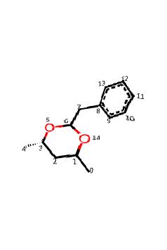 CC1C[C@H](C)OC(Cc2ccccc2)O1